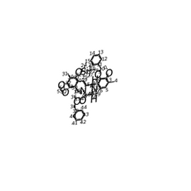 COc1c(C)cc2c(c1OCc1ccccc1)[C@@H]1C3=Cc4c(O[Si](C)(C)C(C)(C)C)c(C)c5c(c4[C@@H](COCc4ccccc4)N3C(=O)[C@@H](C2)N1C)OCO5